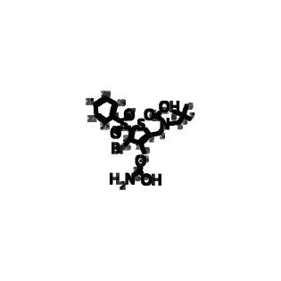 Cc1c(CN(CC(C)(C)C)C(=O)O)sc(S(=O)(=O)c2ccccc2)c1Br.NC(=O)O